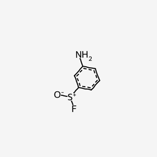 Nc1cccc([S+]([O-])F)c1